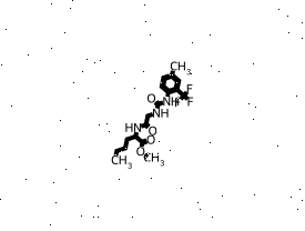 CCCCC(NC(=O)CNC(=O)Nc1ccc(C)cc1C(F)(F)F)C(=O)OC